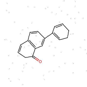 O=C1CC=Cc2ccc(C3=CCCC=C3)cc21